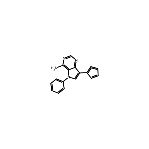 Nc1ncnc2c(C3=C=CC=C3)cn(-c3ccccc3)c12